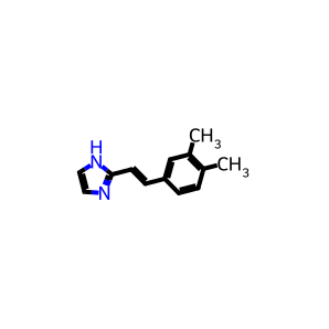 Cc1ccc(C=Cc2ncc[nH]2)cc1C